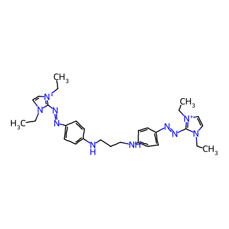 CCn1cc[n+](CC)c1N=Nc1ccc(NCCCNc2ccc(N=Nc3n(CC)cc[n+]3CC)cc2)cc1